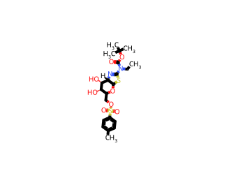 CCN(C(=O)OC(C)(C)C)C1=N[C@@H]2C(OC(COS(=O)(=O)c3ccc(C)cc3)[C@H](O)[C@@H]2O)S1